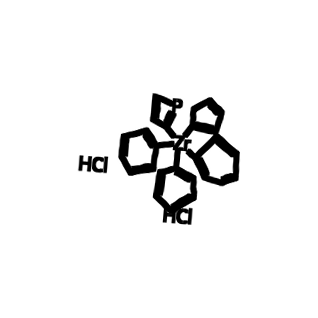 C1=CC[C]([Zr]([C]2=PC=C2)([c]2ccccc2)([c]2ccccc2)[c]2ccccc2)=C1.Cl.Cl